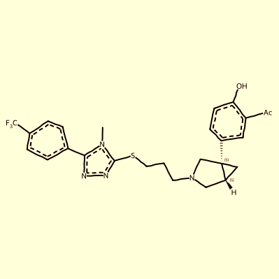 CC(=O)c1cc([C@]23C[C@@H]2CN(CCCSc2nnc(-c4ccc(C(F)(F)F)cc4)n2C)C3)ccc1O